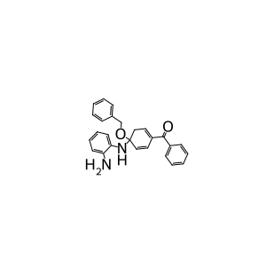 Nc1ccccc1NC1(OCc2ccccc2)C=CC(C(=O)c2ccccc2)=CC1